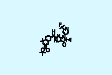 CC(C)(C)OC(=O)N1Cc2cc(Nc3ncc4c(=O)n(C5CC5)n(-c5ccnc(C(C)(C)F)c5)c4n3)ccc2C(C)(C)C1